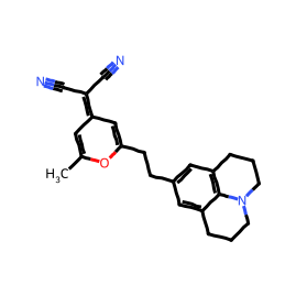 CC1=CC(=C(C#N)C#N)C=C(CCc2cc3c4c(c2)CCCN4CCC3)O1